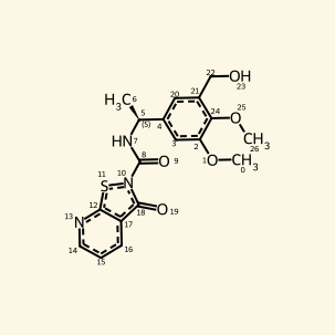 COc1cc([C@H](C)NC(=O)n2sc3ncccc3c2=O)cc(CO)c1OC